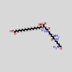 N[C@H](C=O)CCCCNC(=O)[C@@H](N)CCCCNC(=O)CC[C@H](NC(=O)CCCCCCCCCCCCCCCCC(=O)O)C(=O)O